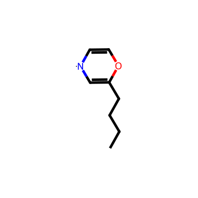 CCCCC1=C[N]C=CO1